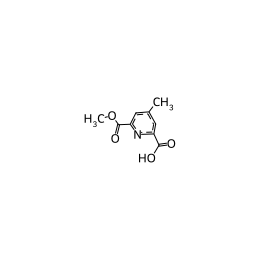 COC(=O)c1cc(C)cc(C(=O)O)n1